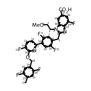 COCCn1c(Cc2cc(F)c(-c3ccc(F)c(OCc4cc(F)c(C)cc4F)n3)cc2F)nc2c(F)cc(C(=O)O)cc21